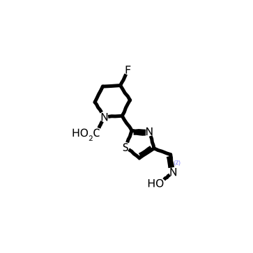 O=C(O)N1CCC(F)CC1c1nc(/C=N\O)cs1